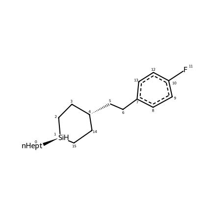 CCCCCCC[Si@H]1CC[C@H](CCc2ccc(F)cc2)CC1